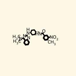 Cc1ccc(C(=O)NC[C@H]2CC[C@@H](Nc3nc(N(C)C)c4ccccc4n3)CC2)cc1[N+](=O)[O-]